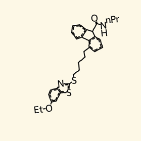 CCCNC(=O)C1c2ccccc2-c2c(CCCCCSc3nc4ccc(OCC)cc4s3)cccc21